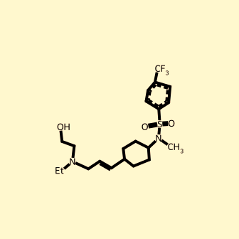 CCN(CC=CC1CCC(N(C)S(=O)(=O)c2ccc(C(F)(F)F)cc2)CC1)CCO